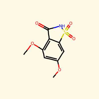 COc1cc(OC)c2c(c1)S(=O)(=O)NC2=O